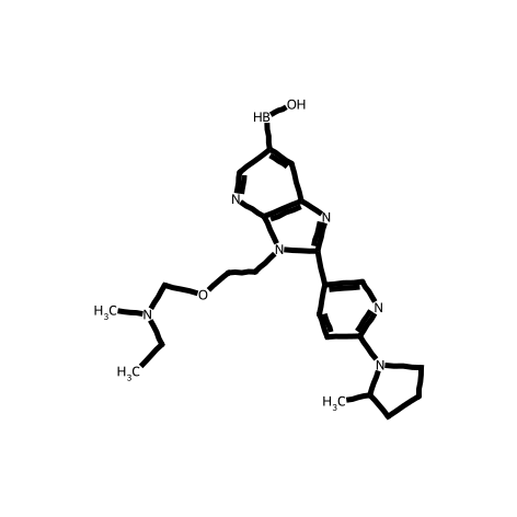 CCN(C)COCCn1c(-c2ccc(N3CCCC3C)nc2)nc2cc(BO)cnc21